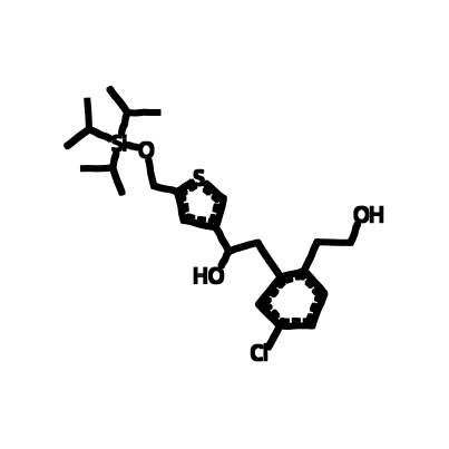 CC(C)[Si](OCc1cc(C(O)Cc2cc(Cl)ccc2CCO)cs1)(C(C)C)C(C)C